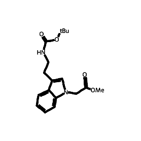 COC(=O)Cn1cc(CCNC(=O)OC(C)(C)C)c2ccccc21